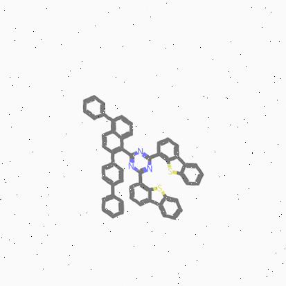 c1ccc(-c2ccc(-c3ccc4c(-c5ccccc5)cccc4c3-c3nc(-c4cccc5c4sc4ccccc45)nc(-c4cccc5c4sc4ccccc45)n3)cc2)cc1